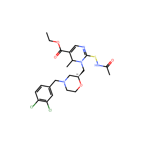 CCOC(=O)C1=CN=C(SNC(C)=O)N(C[C@@H]2CN(Cc3ccc(Cl)c(Cl)c3)CCO2)C1C